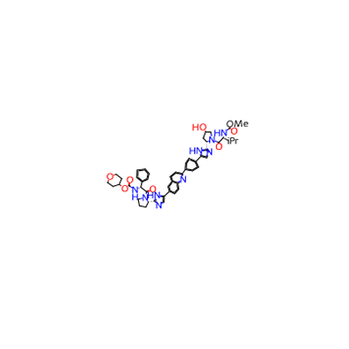 COC(=O)N[C@H](C(=O)N1C[C@H](O)C[C@H]1c1ncc(-c2ccc(-c3ccc4cc(-c5cnc([C@@H]6CCCN6C(=O)[C@H](NC(=O)OC6CCOCC6)c6ccccc6)[nH]5)ccc4n3)cc2)[nH]1)C(C)C